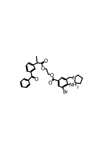 CC(C(=O)OCCOC(=O)c1cc(Br)c(N)c(CN2CCCC2)c1)c1cccc(C(=O)c2ccccc2)c1